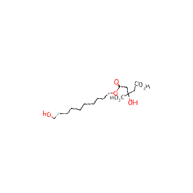 O=C(O)CC(O)(CC(=O)OCCCCCCCCCCO)C(=O)O